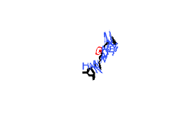 Cc1cc(C)cc(Nc2nccc(-c3cc(C(=O)NCc4ncc[nH]4)n(C)n3)n2)c1